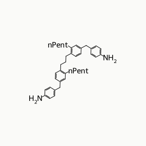 CCCCCc1cc(Cc2ccc(N)cc2)ccc1CCCc1ccc(Cc2ccc(N)cc2)cc1CCCCC